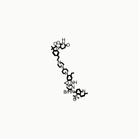 CCc1cc(Nc2ncc(Br)c(Nc3ccc4nc(C)ccc4c3P(C)(C)=O)n2)c(OC)cc1N1CCC(N2CCN(CCc3ccc4c(c3)N(C3CCC(=O)NC3=O)C(=O)C4(C)C)CC2)CC1